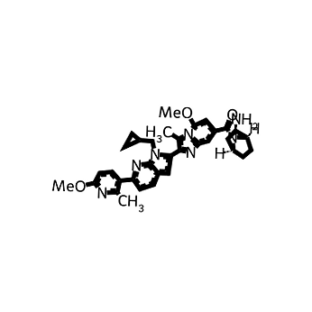 COc1ccc(-c2ccc3cc(-c4nc5cc(C(=O)N6[C@H]7CC[C@@H]6[C@H](N)C7)cc(OC)n5c4C)n(CC4CC4)c3n2)c(C)n1